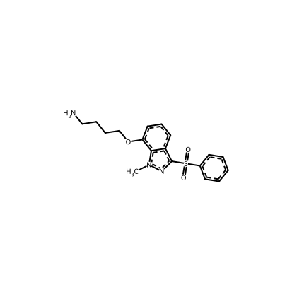 Cn1nc(S(=O)(=O)c2ccccc2)c2cccc(OCCCCN)c21